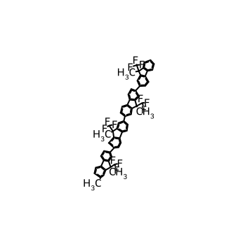 Cc1ccc2c(c1)C(C)(C(F)(F)F)c1cc(-c3ccc4c(c3)C(C)(C(F)(F)F)c3cc(-c5ccc6c(c5)C(C)(C(F)(F)F)c5cc(-c7ccc8c(c7)C(C)(C(F)(F)F)c7ccccc7-8)ccc5-6)ccc3-4)ccc1-2